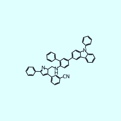 N#Cc1cccc(C2=CC(c3ccccc3)=NC2CNc2ccc(-c3ccc4c(c3)c3ccccc3n4-c3ccccc3)cc2-c2ccccc2)c1